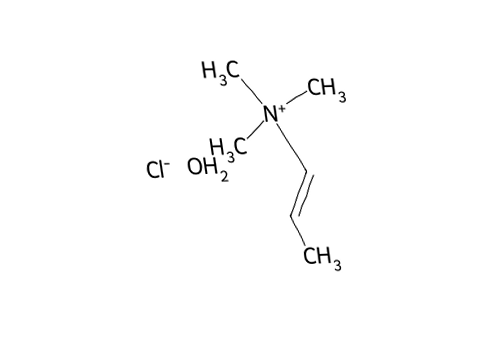 CC=C[N+](C)(C)C.O.[Cl-]